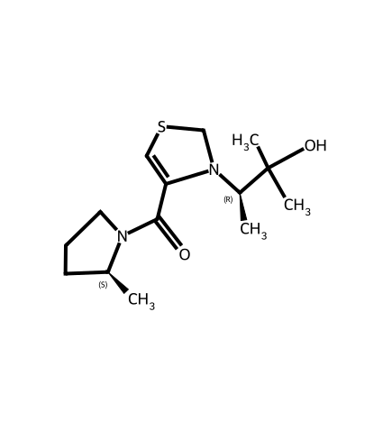 C[C@H]1CCCN1C(=O)C1=CSCN1[C@H](C)C(C)(C)O